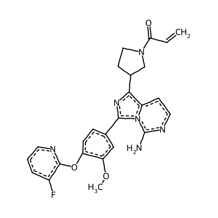 C=CC(=O)N1CCC(c2nc(-c3ccc(Oc4ncccc4F)c(OC)c3)n3c(N)nccc23)C1